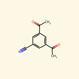 CC(=O)c1cc(C#N)cc(C(C)=O)c1